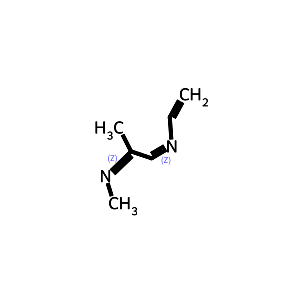 C=C/N=C\C(C)=N/C